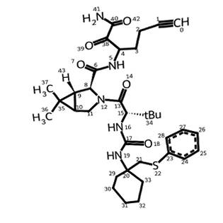 C#CCCC(NC(=O)[C@@H]1[C@@H]2C(CN1C(=O)[C@@H](NC(=O)NC1(CSc3ccccc3)CCCCC1)C(C)(C)C)C2(C)C)C(=O)C(N)=O